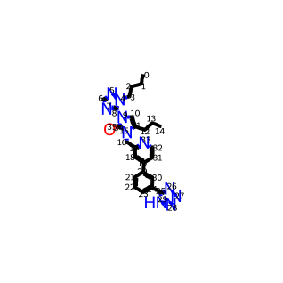 CCCCn1ncnc1-n1cc(CCC)n(Cc2cc(-c3cccc(-c4nnn[nH]4)c3)ccn2)c1=O